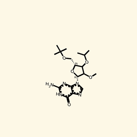 COC1C(OC(C)C)[C@@H](COC(C)(C)C)O[C@H]1n1cnc2c(=O)[nH]c(N)nc21